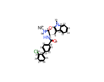 CN(C#N)C(=O)[C@H](Cc1cn(C)c2ccccc12)NC(=O)c1ccc(-c2ccccc2Cl)cc1